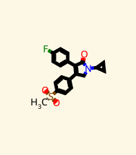 CS(=O)(=O)c1ccc(C2=C(c3ccc(F)cc3)C(=O)N(C3CC3)C2)cc1